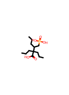 CCCC(CP(=O)(O)O)C(CCC)(CCC)C(=O)O